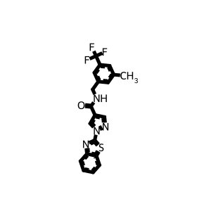 Cc1cc(CNC(=O)c2cnn(-c3nc4ccccc4s3)c2)cc(C(F)(F)F)c1